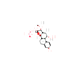 CC1(C)O[C@@H]2C[C@H]3[C@@H]4CCC5=CC(=O)C=C[C@]5(C)C4(F)[C@@H](O)C[C@]3(C)[C@]2(C(=O)COP(=O)(O)O)O1